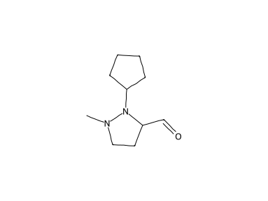 CN1CCC(C=O)N1C1CCCC1